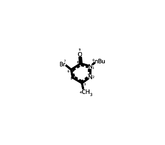 CCCCn1nc(C)cc(Br)c1=O